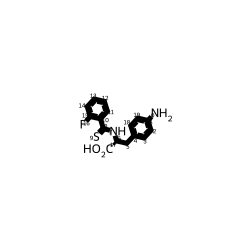 Nc1ccc(C[C@H](NC(=S)c2ccccc2F)C(=O)O)cc1